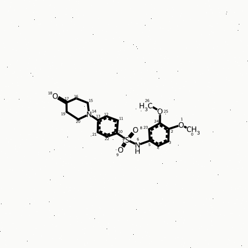 COc1ccc(NS(=O)(=O)c2ccc(N3CCC(=O)CC3)cc2)cc1OC